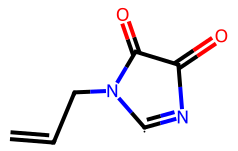 C=CCN1[C]=NC(=O)C1=O